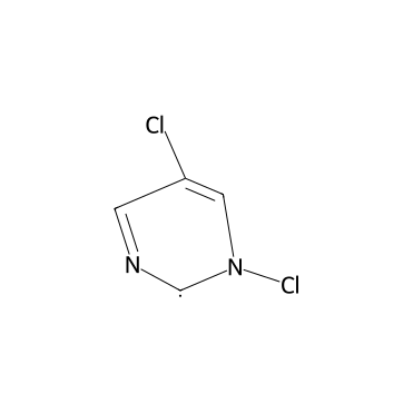 ClC1=CN(Cl)[CH]N=C1